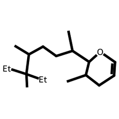 CCC(C)(CC)C(C)CCC(C)C1OC=CCC1C